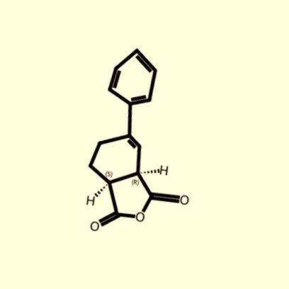 O=C1OC(=O)[C@@H]2C=C(c3ccccc3)CC[C@H]12